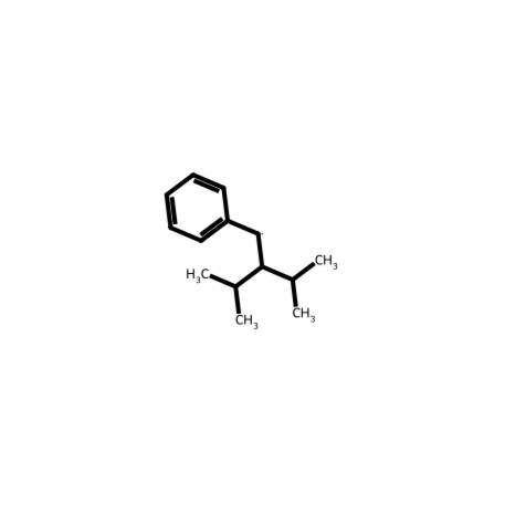 CC(C)C([CH]c1ccccc1)C(C)C